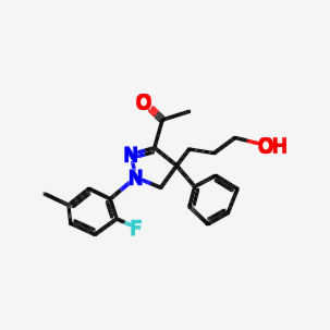 CC(=O)C1=NN(c2cc(C)ccc2F)CC1(CCCO)c1ccccc1